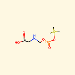 CS(C)(C)O[PH](=O)OCNCC(=O)O